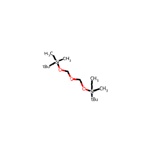 CC(C)(C)[Si](C)(C)OCOCO[Si](C)(C)C(C)(C)C